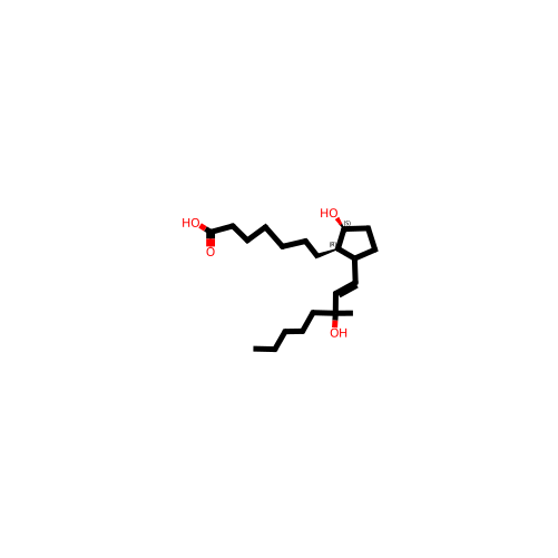 CCCCCC(C)(O)C=CC1CC[C@H](O)[C@@H]1CCCCCCC(=O)O